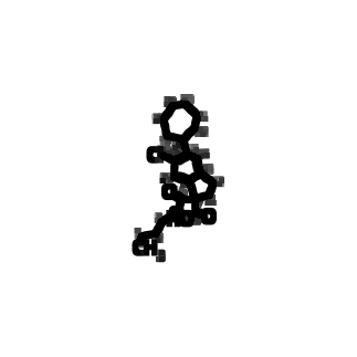 CCCCOC(=O)C1(C(=O)O)CCc2cc(C3CCCCCC3)c(Cl)cc21